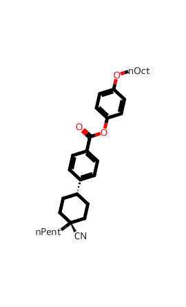 CCCCCCCCOc1ccc(OC(=O)c2ccc([C@H]3CC[C@@](C#N)(CCCCC)CC3)cc2)cc1